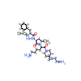 CC1C[C@@H](NC(=O)C(Cc2ccccc2)NC=O)C(=O)N1C(CCCCN)C(=O)N1CCC2(CC1)CN2CCN